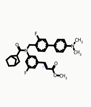 COC(=O)/C=C/c1cc(F)cc(N(Cc2ccc(-c3ccc(N(C)C)cc3)cc2F)C(=O)C2CC3CCC2C3)c1